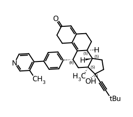 Cc1cnccc1-c1ccc([C@H]2C[C@@]3(C)[C@@H](CC[C@@]3(O)C#CC(C)(C)C)[C@@H]3CCC4=CC(=O)CCC4=C32)cc1